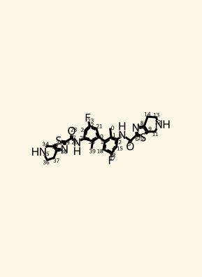 Cc1c(NC(=O)c2nc3c(s2)CNCC3)cc(F)cc1-c1cc(F)cc(NC(=O)c2nc3c(s2)CNCC3)c1C